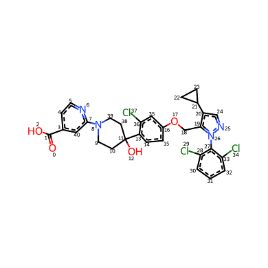 O=C(O)c1ccnc(N2CCC(O)(c3ccc(OCc4c(C5CC5)cnn4-c4c(Cl)cccc4Cl)cc3Cl)CC2)c1